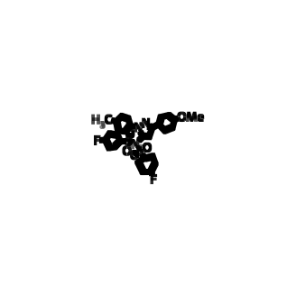 COc1ccc(-c2cc(N(S(=O)(=O)c3ccc(F)cc3)S(=O)(=O)c3ccc(F)cc3)n(-c3ccc(C)cc3)n2)cc1